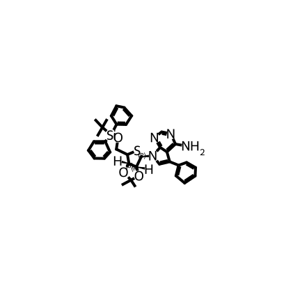 CC1(C)O[C@@H]2[C@H](O1)C(CO[Si](c1ccccc1)(c1ccccc1)C(C)(C)C)S[C@H]2n1cc(-c2ccccc2)c2c(N)ncnc21